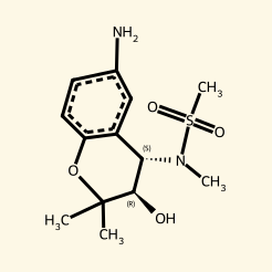 CN([C@H]1c2cc(N)ccc2OC(C)(C)[C@@H]1O)S(C)(=O)=O